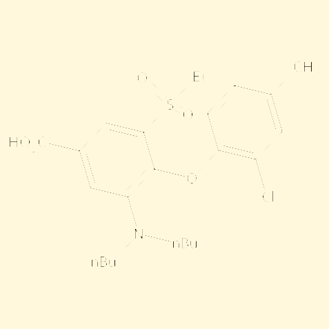 CCCCN(CCCC)c1cc(C(=O)O)cc(S(=O)(=O)CC)c1Oc1ccc(C)cc1Cl